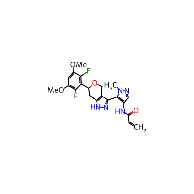 C=CC(=O)Nc1cnn(C)c1-c1n[nH]c2c1COC(c1c(F)c(OC)cc(OC)c1F)C2